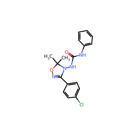 CC1(C)ON=C(c2ccc(Cl)cc2)N1NC(=O)Nc1ccccc1